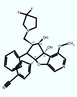 COc1cncc2c1[C@]1(O)[C@H](O)[C@H](CN3CCC(F)(F)C3)C(c3ccccc3)[C@]1(c1ccc(C#N)cc1)O2